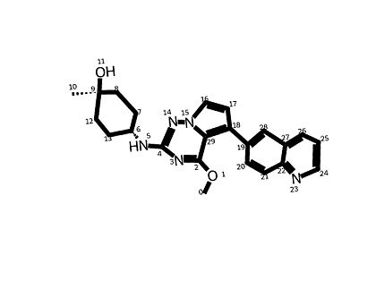 COc1nc(N[C@H]2CC[C@](C)(O)CC2)nn2ccc(-c3ccc4ncccc4c3)c12